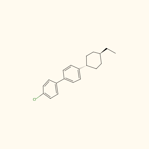 CC[C@H]1CC[C@H](c2ccc(-c3ccc(Cl)cc3)cc2)CC1